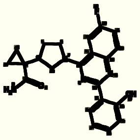 NC(=O)C1(C2CCN(c3nc(-c4ccccc4O)nc4ccc(F)cc34)C2)CC1